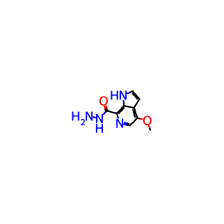 COc1cnc(C(=O)NN)c2[nH]ccc12